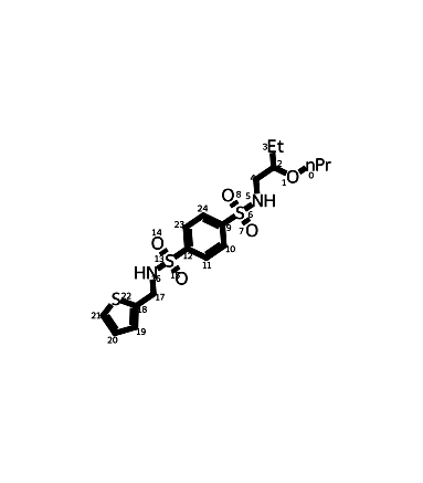 CCCOC(CC)CNS(=O)(=O)c1ccc(S(=O)(=O)NCc2cccs2)cc1